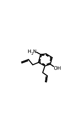 C=CCc1c(N)ccc(O)c1CC=C